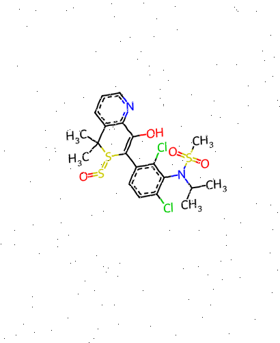 CC(C)N(c1c(Cl)ccc(C2=C(O)c3ncccc3C(C)(C)S2=S=O)c1Cl)S(C)(=O)=O